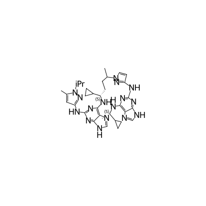 Cc1cc(Nc2nc(N[C@@H](CCC(C)n3ccc(Nc4nc(N[C@@H](C)C5CC5)c5nc[nH]c5n4)n3)C3CC3)c3nc[nH]c3n2)nn1C(C)C